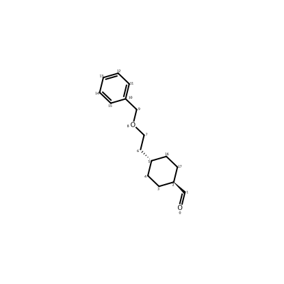 O=C[C@H]1CC[C@H](CCOCc2ccccc2)CC1